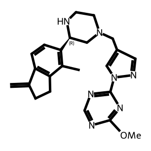 C=C1CCc2c1ccc([C@@H]1CN(Cc3cnn(-c4ncnc(OC)n4)c3)CCN1)c2C